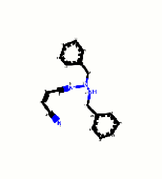 N#C/C=C\C#[N+]N(Cc1ccccc1)NCc1ccccc1